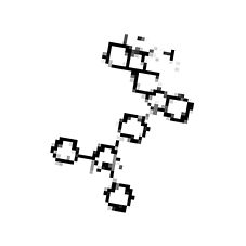 CC1(C)c2ccccc2C2=Cc3c(c4ccccc4n3-c3ccc(-c4cc(-c5ccccc5)nc(-c5ccccc5)n4)cc3)CC21